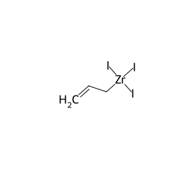 C=C[CH2][Zr]([I])([I])[I]